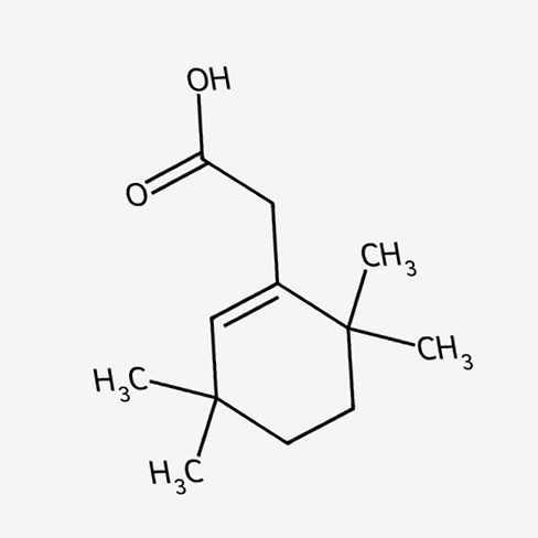 CC1(C)C=C(CC(=O)O)C(C)(C)CC1